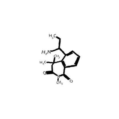 CCC(N)c1cccc2c1C(C)(C)C(=O)N(C)C2=O